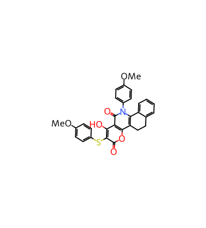 COc1ccc(Sc2c(O)c3c(=O)n(-c4ccc(OC)cc4)c4c(c3oc2=O)CCc2ccccc2-4)cc1